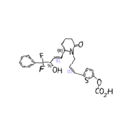 O=C(O)Oc1ccc(/C=C\CN2C(=O)CCC[C@@H]2/C=C/[C@@H](O)C(F)(F)c2ccccc2)s1